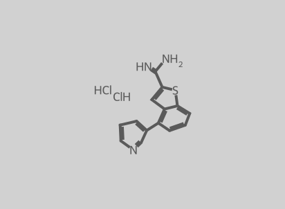 Cl.Cl.N=C(N)c1cc2c(-c3cccnc3)cccc2s1